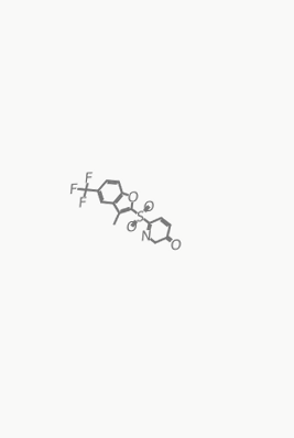 Cc1c(S(=O)(=O)C2=NCC(=O)C=C2)oc2ccc(C(F)(F)F)cc12